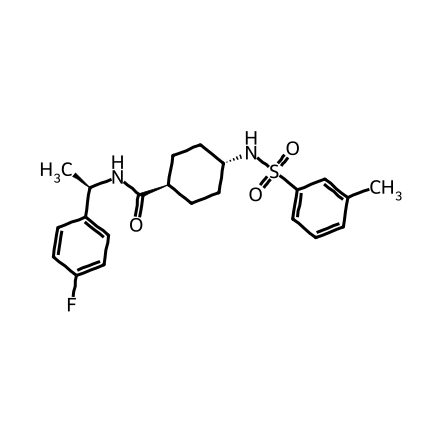 Cc1cccc(S(=O)(=O)N[C@H]2CC[C@H](C(=O)N[C@H](C)c3ccc(F)cc3)CC2)c1